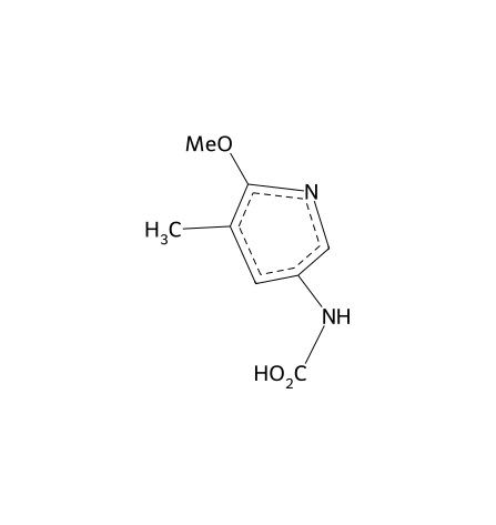 COc1ncc(NC(=O)O)cc1C